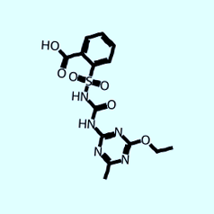 CCOc1nc(C)nc(NC(=O)NS(=O)(=O)c2ccccc2C(=O)O)n1